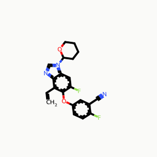 C=Cc1c(Oc2ccc(F)c(C#N)c2)c(F)cc2c1ncn2C1CCCCO1